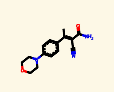 C/C(=C(/C#N)C(N)=O)c1ccc(N2CCOCC2)cc1